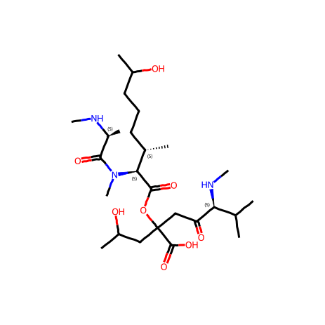 CN[C@@H](C)C(=O)N(C)[C@H](C(=O)OC(CC(=O)[C@@H](NC)C(C)C)(CC(C)O)C(=O)O)[C@@H](C)CCCC(C)O